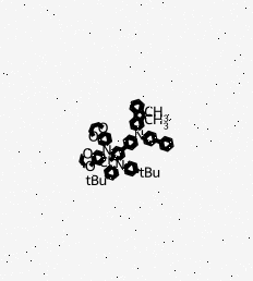 CC(C)(C)c1ccc(N(c2ccc(C(C)(C)C)cc2)c2cc(-c3ccc(N(c4ccc(-c5ccccc5)cc4)c4ccc5c(c4)C(C)(C)c4ccccc4-5)cc3)cc(N(c3ccc4c(c3)OCCCO4)c3ccc4c(c3)OCCCO4)c2Cl)cc1